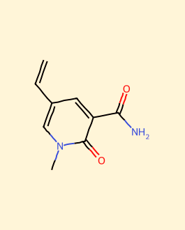 C=Cc1cc(C(N)=O)c(=O)n(C)c1